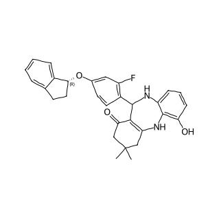 CC1(C)CC(=O)C2=C(C1)Nc1c(O)cccc1NC2c1ccc(O[C@@H]2CCc3ccccc32)cc1F